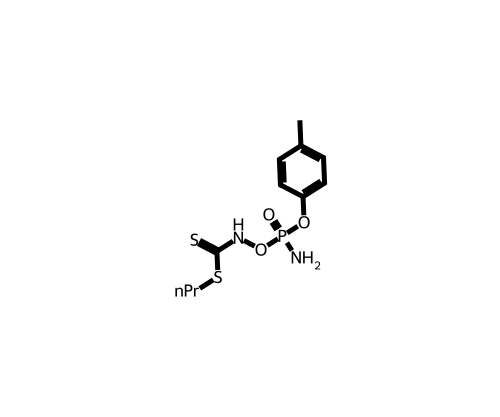 CCCSC(=S)NOP(N)(=O)Oc1ccc(C)cc1